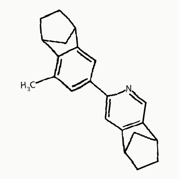 Cc1cc(-c2cc3c(cn2)C2CCC3C2)cc2c1C1CCC2C1